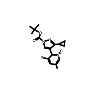 CC(C)(C)OC(=O)n1cc(C2C(F)=CC(F)=C[N+]2=O)c(C2CC2)n1